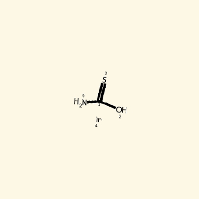 NC(O)=S.[Ir]